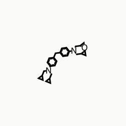 c1cc(N(CC2CC2)CC2CC2)ccc1Cc1ccc(N(CC2CC2)CC2CO2)cc1